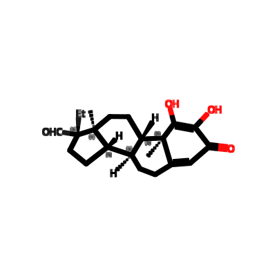 CC[C@]1(C=O)CC[C@H]2[C@@H]3CCC4=CC(=O)C(O)=C(O)[C@]4(C)[C@H]3CC[C@@]21C